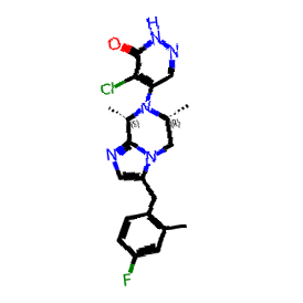 Cc1cc(F)ccc1Cc1cnc2n1C[C@@H](C)N(c1cn[nH]c(=O)c1Cl)[C@H]2C